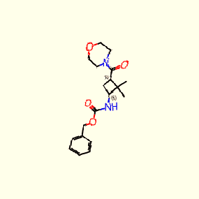 CC1(C)[C@@H](NC(=O)OCc2ccccc2)C[C@H]1C(=O)N1CCOCC1